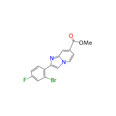 COC(=O)c1ccn2cc(-c3ccc(F)cc3Br)nc2c1